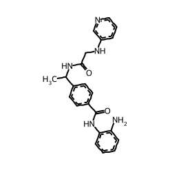 CC(NC(=O)CNc1cccnc1)c1ccc(C(=O)Nc2ccccc2N)cc1